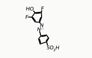 O=S(=O)(O)c1ccc(/N=N/c2cc(F)c(O)c(F)c2)cc1